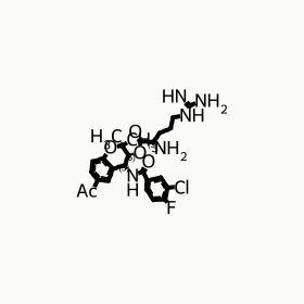 CC(=O)c1ccc2c(c1)[C@H](NC(=O)c1ccc(F)c(Cl)c1)[C@H](OC(=O)[C@@H](N)CCCNC(=N)N)C(C)(C)O2